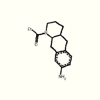 CCC(=O)N1CCCC2Cc3ccc(N)cc3CC21